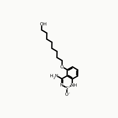 NC1=N[S+]([O-])Nc2cccc(OCCCCCCCCO)c21